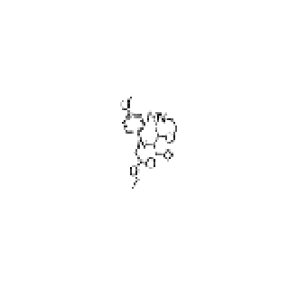 CCOC(=O)CN(c1ccc(OC)cc1)C(C=O)C1CNCCO1